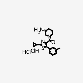 Cc1cccc(-c2sc(C3CC3)nc2C(=O)N2CCC[C@@H](N)C2)c1.Cl.Cl